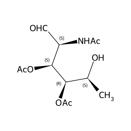 CC(=O)N[C@H](C=O)[C@H](OC(C)=O)[C@H](OC(C)=O)[C@H](C)O